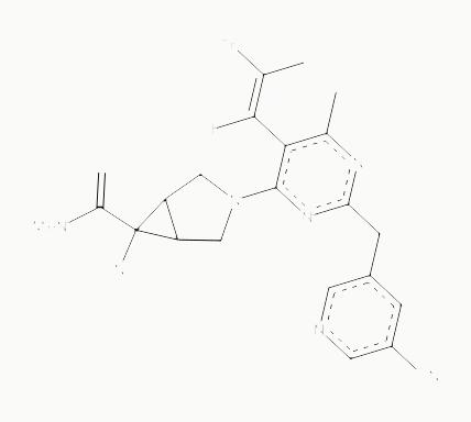 CC/C(C)=C(\Cl)c1c(C)nc(Cc2cncc(C#N)c2)nc1N1CC2C(C1)C2(N)C(=O)NC